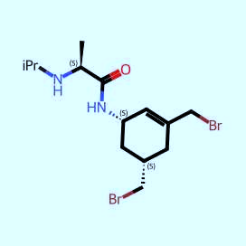 CC(C)N[C@@H](C)C(=O)N[C@@H]1C=C(CBr)C[C@H](CBr)C1